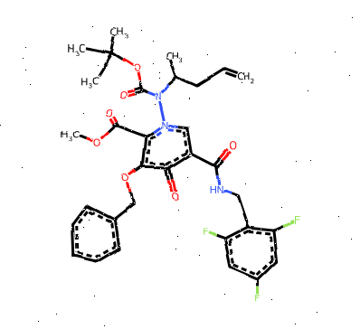 C=CCC(C)N(C(=O)OC(C)(C)C)n1cc(C(=O)NCc2c(F)cc(F)cc2F)c(=O)c(OCc2ccccc2)c1C(=O)OC